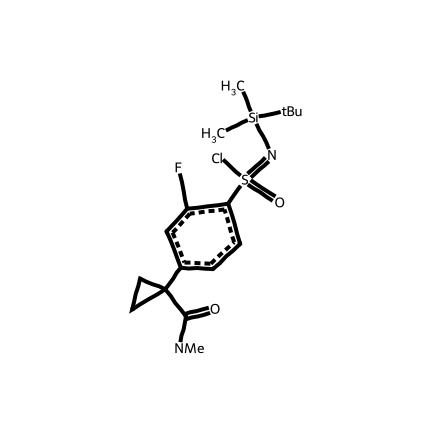 CNC(=O)C1(c2ccc(S(=O)(Cl)=N[Si](C)(C)C(C)(C)C)c(F)c2)CC1